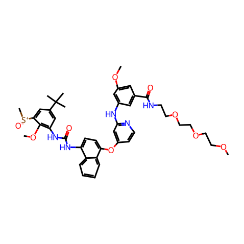 COCCOCCOCCNC(=O)c1cc(Nc2cc(Oc3ccc(NC(=O)Nc4cc(C(C)(C)C)cc([S+](C)[O-])c4OC)c4ccccc34)ccn2)cc(OC)c1